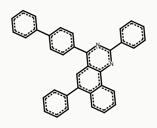 c1ccc(-c2ccc(-c3nc(-c4ccccc4)nc4c3cc(-c3ccccc3)c3ccccc34)cc2)cc1